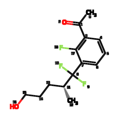 CC(=O)c1cccc(C(F)(F)[C@H](C)CCCO)c1F